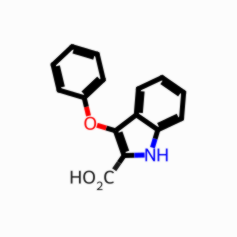 O=C(O)c1[nH]c2ccccc2c1Oc1ccccc1